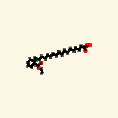 CCOC(=O)c1ccccc1CCCCCCCCCCCCCCCCCC(=O)O